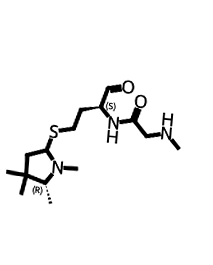 CNCC(=O)N[C@H](C=O)CCSC1CC(C)(C)[C@@H](C)N1C